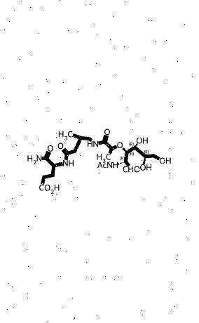 CC(=O)N[C@@H](C=O)[C@@H](OC(C)C(=O)NCC(C)CC(=O)NC(CCC(=O)O)C(N)=O)[C@H](O)[C@H](O)CO